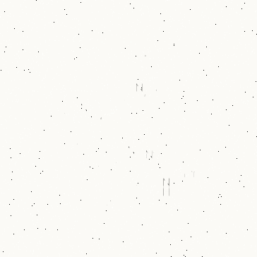 C1CCNCC1.CCCNc1nn(CCCN2CCCCC2)c2ccccc12